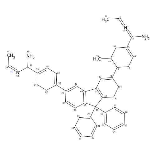 CC=[N+]=C(N)C1=CCC(C2=CC3=C(CC2)C(c2ccccc2)(c2ccccc2)c2ccc(C4=CC=C(C(N)/N=C\C)CC4)cc23)C(C)C1